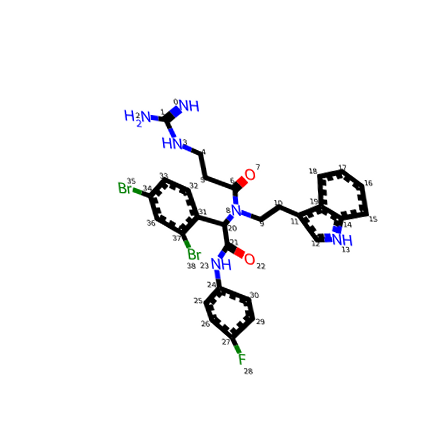 N=C(N)NCCC(=O)N(CCc1c[nH]c2ccccc12)C(C(=O)Nc1ccc(F)cc1)c1ccc(Br)cc1Br